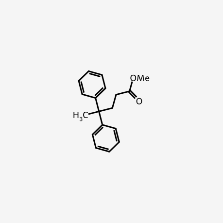 COC(=O)CCC(C)(c1ccccc1)c1ccccc1